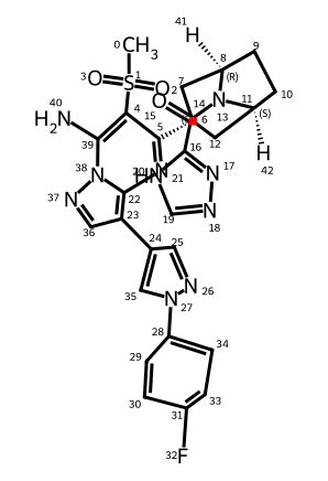 CS(=O)(=O)c1c([C@@H]2C[C@H]3CC[C@@H](C2)N3C(=O)c2nnc[nH]2)nc2c(-c3cnn(-c4ccc(F)cc4)c3)cnn2c1N